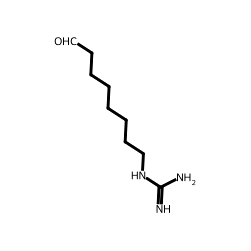 N=C(N)NCCCCCCCC=O